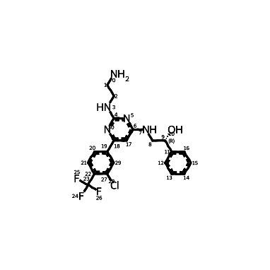 NCCNc1nc(NC[C@H](O)c2ccccc2)cc(-c2ccc(C(F)(F)F)c(Cl)c2)n1